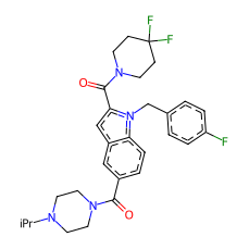 CC(C)N1CCN(C(=O)c2ccc3c(c2)cc(C(=O)N2CCC(F)(F)CC2)n3Cc2ccc(F)cc2)CC1